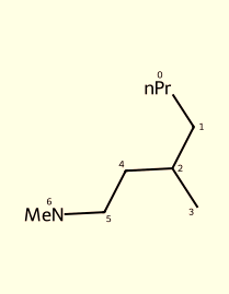 CCCCC(C)CCNC